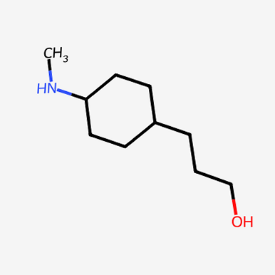 CNC1CCC(CCCO)CC1